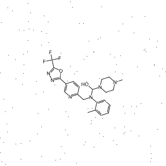 Cc1ccccc1N(Cc1ccc(-c2nnc(C(F)(F)F)o2)cn1)C(O)N1CCN(C)CC1